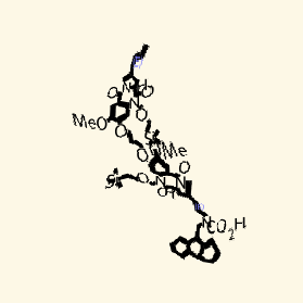 C/C=C/C1=CN2C(=O)c3cc(OC)c(OCCCOc4cc5c(cc4OC)C(=O)N4C=C(/C=C/CN(CC6c7ccccc7-c7ccccc76)C(=O)O)C[C@H]4C(=O)N5COCC[Si](C)(C)C)cc3N(COCC[Si](C)(C)C)C(=O)[C@@H]2C1